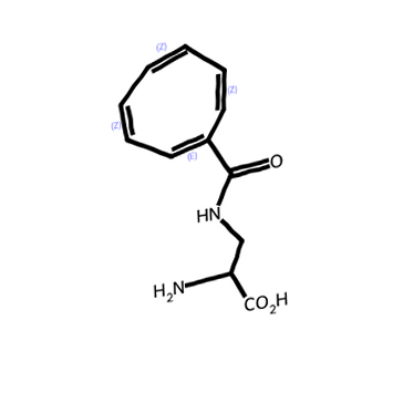 NC(CNC(=O)C1=C/C=C\C=C/C=C\1)C(=O)O